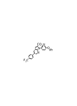 CC(C)Oc1ccc(-n2c(C(=O)O)cc3cc(-c4ccc(C(F)(F)F)cc4)cnc32)cc1